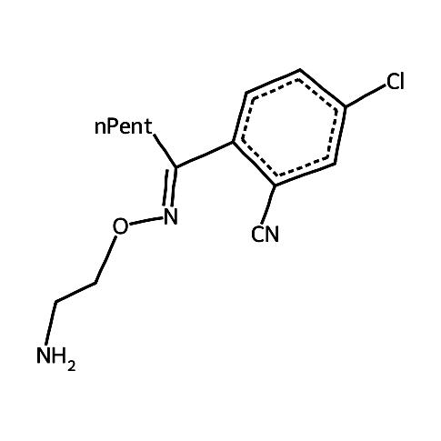 CCCCCC(=NOCCN)c1ccc(Cl)cc1C#N